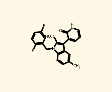 Cc1ccc2c(c1)c(-c1ccc[nH]c1=O)c(C(=O)O)n2Cc1cc(F)ccc1F